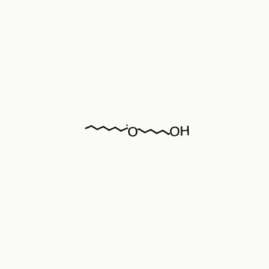 CCCCCCC[CH]OCCCCCCO